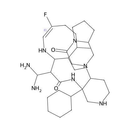 CCC1C(C)CC/C(F)=C\NC1C(C(=O)NC1(C2CCCCC2)CNCCC1N1CC(=O)N2CCCC2C1)C(N)N